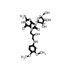 COc1ccc(NCC(O)Cn2c(=O)n([C@@H]3O[C@H](CO)[C@@H](O)[C@H]3O)c3nc(N)[nH]c(=O)c32)cc1OC